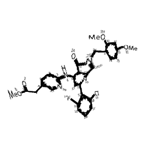 COC(=O)Cc1ccc(Nc2cc(-c3c(F)cccc3Cl)nc3c2C(=O)N(Cc2ccc(OC)cc2OC)C3)nc1